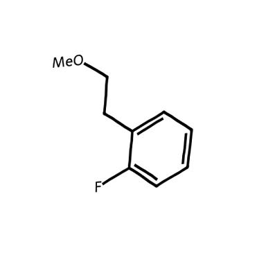 COCCc1ccccc1F